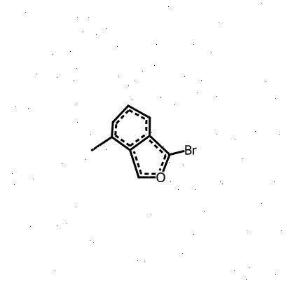 Cc1cccc2c(Br)occ12